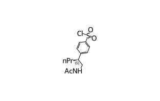 CCC[C@H](CNC(C)=O)c1ccc(S(=O)(=O)Cl)cc1